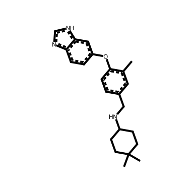 Cc1cc(CNC2CCC(C)(C)CC2)ccc1Oc1ccc2nc[nH]c2c1